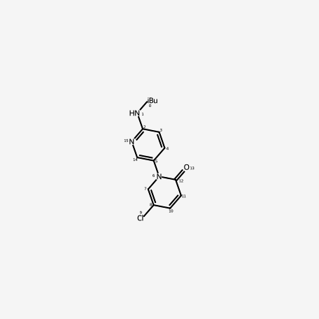 CCC(C)Nc1ccc(-n2cc(Cl)ccc2=O)cn1